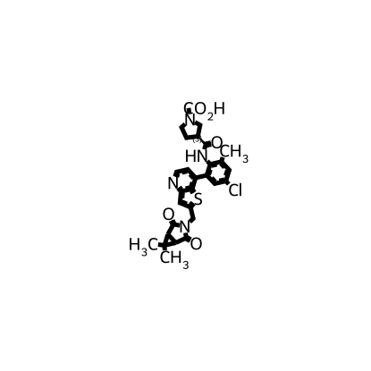 Cc1cc(Cl)cc(-c2ccnc3cc(CN4C(=O)C5C(C4=O)C5(C)C)sc23)c1NC(=O)[C@H]1CCN(C(=O)O)C1